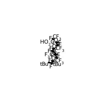 CC(C)(C)CC(F)(C(C)(C)C)C(F)(F)OC(F)(C(F)(F)F)C(F)(F)OC(F)(C(F)(F)F)C(F)(F)OC(F)(C(F)(F)F)C(F)(F)OC(F)(C(=O)O)C(F)(F)F